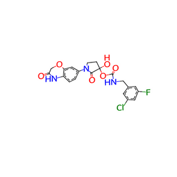 O=C1COc2cc(N3CCC(O)(OC(=O)NCc4cc(F)cc(Cl)c4)C3=O)ccc2N1